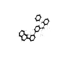 CC1(C)c2ccccc2N(c2ccccc2)c2ccc(-c3cccc4c3oc3c5ccccc5ccc43)cc21